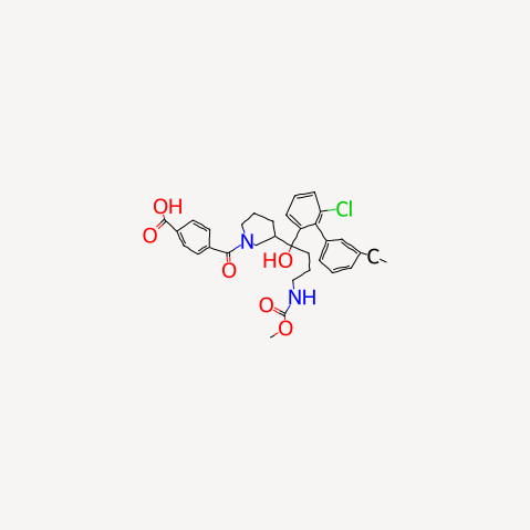 CCc1cccc(-c2c(Cl)cccc2C(O)(CCCNC(=O)OC)C2CCCN(C(=O)c3ccc(C(=O)O)cc3)C2)c1